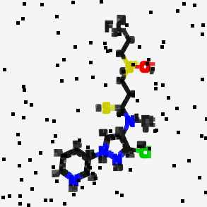 CCN(C(=S)CC[S+]([O-])CCC(F)(F)F)c1cn(-c2cccnc2)nc1Cl